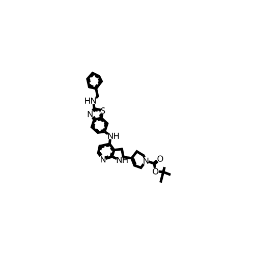 CC(C)(C)OC(=O)N1CC=C(C2Cc3c(Nc4ccc5nc(NCc6ccccc6)sc5c4)ccnc3N2)CC1